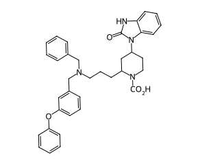 O=C(O)N1CCC(n2c(=O)[nH]c3ccccc32)CC1CCCN(Cc1ccccc1)Cc1cccc(Oc2ccccc2)c1